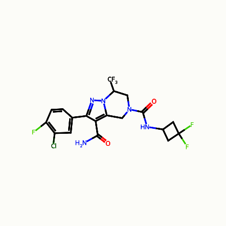 NC(=O)c1c(-c2ccc(F)c(Cl)c2)nn2c1CN(C(=O)NC1CC(F)(F)C1)CC2C(F)(F)F